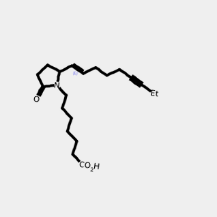 CCC#CCCC/C=C/C1CCC(=O)N1CCCCCCC(=O)O